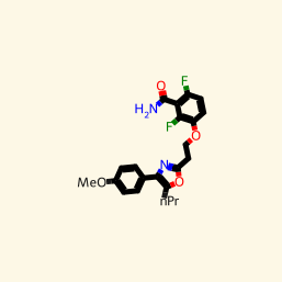 CCCc1oc(CCOc2ccc(F)c(C(N)=O)c2F)nc1-c1ccc(OC)cc1